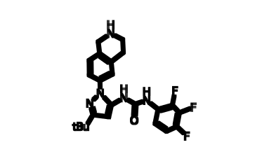 CC(C)(C)c1cc(NC(=O)Nc2ccc(F)c(F)c2F)n(-c2ccc3c(c2)CCNC3)n1